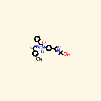 C[C@@H](CN[C@@H](C(=O)Nc1ccc(-c2cnn(C(C)(C)CO)c2)cc1)c1ccccc1)c1ccc(C#N)cc1